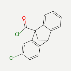 O=C(Cl)C12CC(c3ccccc31)c1ccc(Cl)cc12